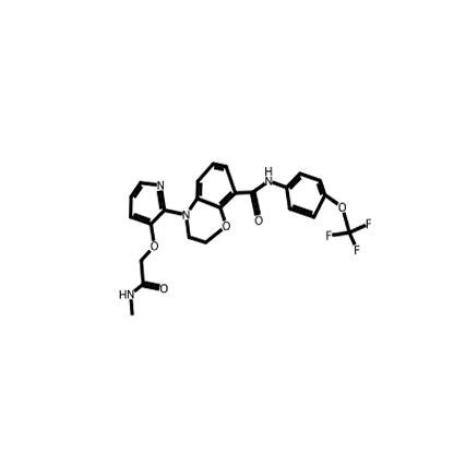 CNC(=O)COc1cccnc1N1CCOc2c(C(=O)Nc3ccc(OC(F)(F)F)cc3)cccc21